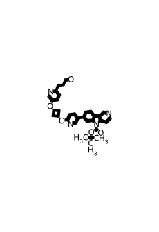 CC(C)(C)OC(=O)n1c2ccncc2c2ccc(-c3ccc(O[C@H]4C[C@H](Oc5ccc(CCC=O)nc5)C4)nc3)cc21